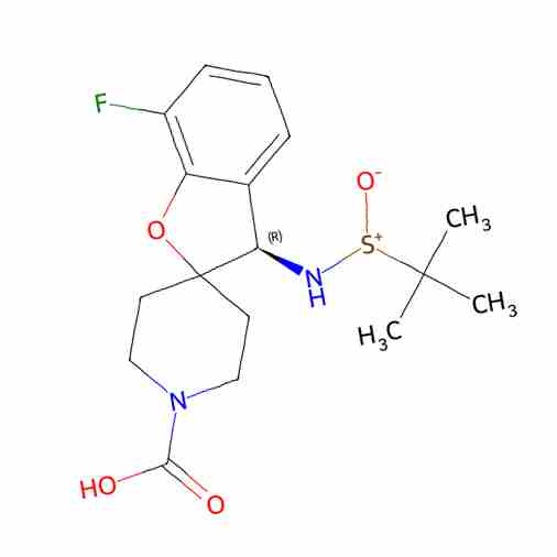 CC(C)(C)[S+]([O-])N[C@@H]1c2cccc(F)c2OC12CCN(C(=O)O)CC2